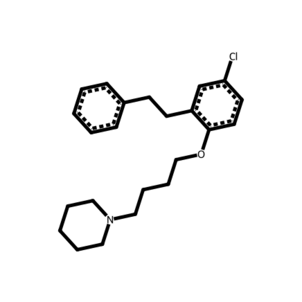 Clc1ccc(OCCCCN2CCCCC2)c(CCc2ccccc2)c1